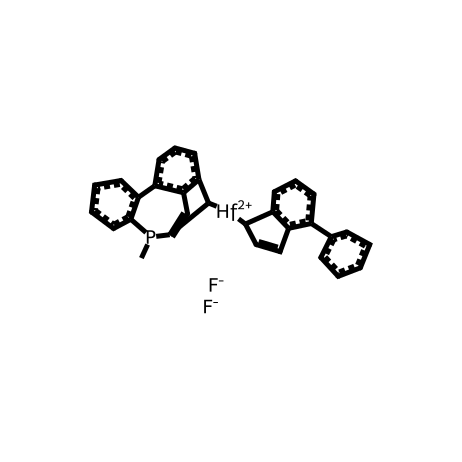 CP1C2=Cc3c(cccc3[CH]2[Hf+2][CH]2C=Cc3c(-c4ccccc4)cccc32)-c2ccccc21.[F-].[F-]